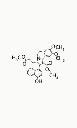 CCOC(=O)c1c(-c2ccc(O)c3ccccc23)c(CCC(=O)OC)n2c1-c1cc(OC)c(OC)cc1CC2